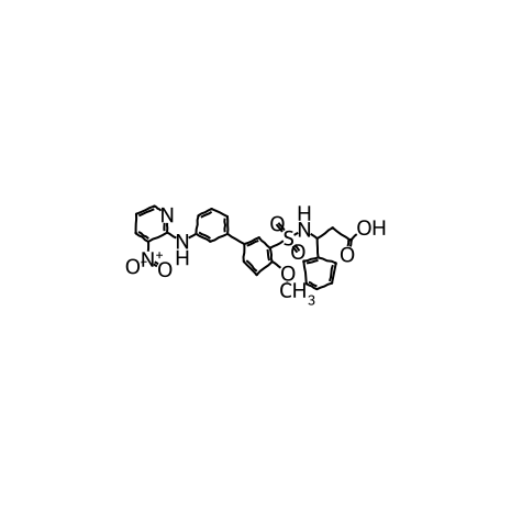 COc1ccc(-c2cccc(Nc3ncccc3[N+](=O)[O-])c2)cc1S(=O)(=O)NC(CC(=O)O)c1ccccc1